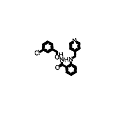 O=C(NOCc1cccc(Cl)c1)c1ccccc1NCc1ccncc1